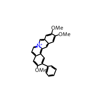 COc1cc2cc3c4cc(-c5ccccc5)c(OC)cc4cc[n+]3cc2cc1OC